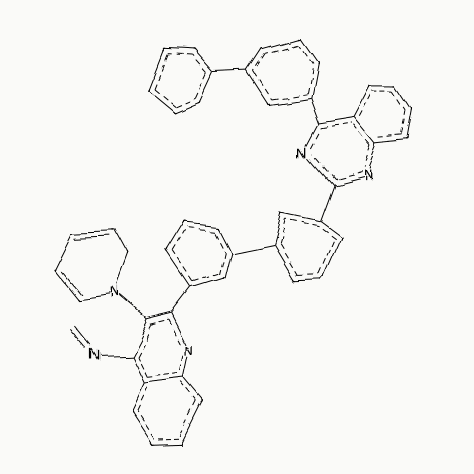 C=Nc1c(N2C=CC=CC2)c(-c2cccc(-c3cccc(-c4nc(-c5cccc(-c6ccccc6)c5)c5ccccc5n4)c3)c2)nc2ccccc12